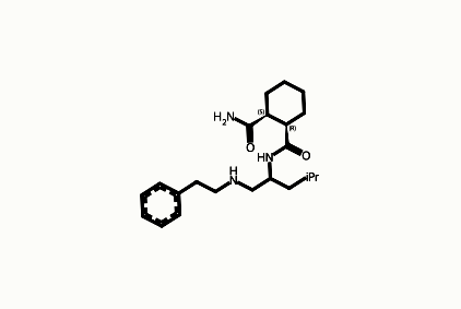 CC(C)CC(CNCCc1ccccc1)NC(=O)[C@@H]1CCCC[C@@H]1C(N)=O